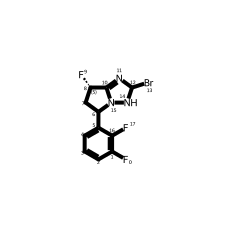 Fc1cccc(C2C[C@H](F)C3=NC(Br)NN32)c1F